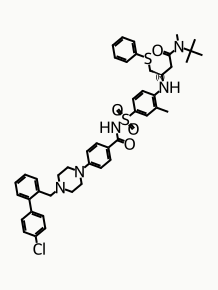 Cc1cc(S(=O)(=O)NC(=O)c2ccc(N3CCN(Cc4ccccc4-c4ccc(Cl)cc4)CC3)cc2)ccc1N[C@@H](CSc1ccccc1)CC(=O)N(C)C(C)(C)C